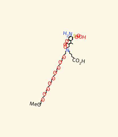 COCCOCCOCCOCCOCCOCCOCCOCCOCCOCCCN(CCCCCC(=O)O)C(=O)Cc1c(C)c2cc(SOOO)c(N)cc2oc1=O